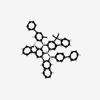 Cc1cc(-c2ccccc2)ccc1N1c2cc3c(cc2B2c4c(cc5c(oc6ccccc65)c41)-c1cc4ccccc4cc1N2c1ccc(-c2ccccc2)cc1)-c1ccccc1C3(C)C